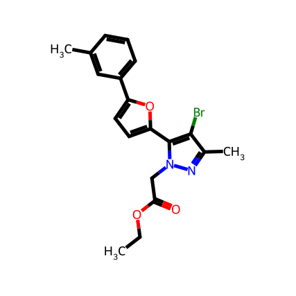 CCOC(=O)Cn1nc(C)c(Br)c1-c1ccc(-c2cccc(C)c2)o1